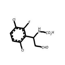 O=CCC(NC(=O)O)c1c(Cl)ccc(Cl)c1F